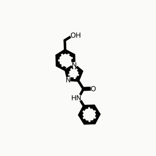 O=C(Nc1ccccc1)c1cn2cc(CO)ccc2n1